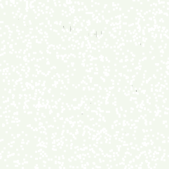 CC(N)C(O)C(C(=O)[C@@H](N)CC(=O)O)C12CC3CC(CC(C3)C1)C2